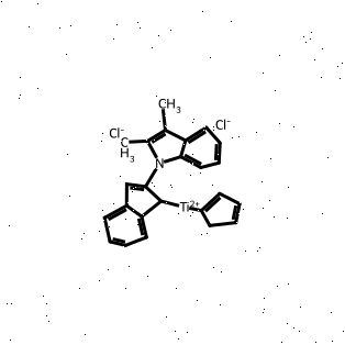 Cc1c(C)n(C2=Cc3ccccc3[CH]2[Ti+2][C]2=CC=CC2)c2ccccc12.[Cl-].[Cl-]